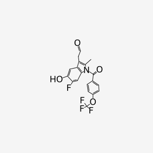 Cc1c(CC=O)c2cc(O)c(F)cc2n1C(=O)c1ccc(OC(F)(F)F)cc1